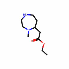 CCOC(=O)CC1CCNCCN1C